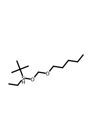 CCCCCOCO[SiH](CC)C(C)(C)C